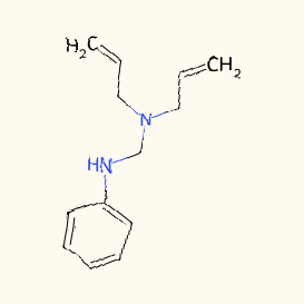 C=CCN(CC=C)CNc1ccccc1